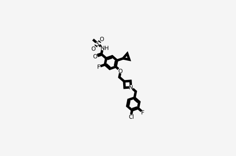 CS(=O)(=O)NC(=O)c1cc(C2CC2)c(OCC2CN(Cc3ccc(Cl)c(F)c3)C2)cc1F